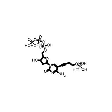 Nc1nc(=O)n(C2CC(O)C(COP(=O)(O)OP(=O)(O)OP(=O)(O)O)O2)cc1C#CCCO[PH](O)(O)O